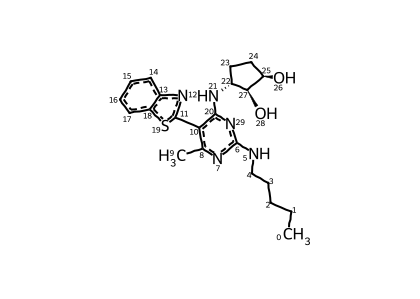 CCCCCNc1nc(C)c(-c2nc3ccccc3s2)c(N[C@@H]2CC[C@@H](O)[C@H]2O)n1